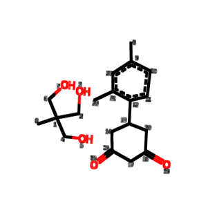 CC(CO)(CO)CO.Cc1ccc(C2CC(=O)CC(=O)C2)c(C)c1